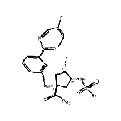 CCS(=O)(=O)N[C@@H]1C[C@@](Cc2cccc(-c3ncc(F)cn3)c2)(C(=O)OC)C[C@@H]1F